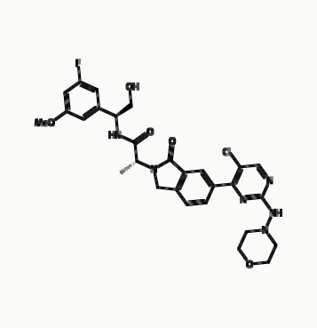 COc1cc(F)cc([C@@H](CO)NC(=O)[C@@H](C)N2Cc3ccc(-c4nc(NN5CCOCC5)ncc4Cl)cc3C2=O)c1